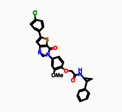 COc1cc(-n2cnc3cc(-c4ccc(Cl)cc4)sc3c2=O)ccc1OCC(=O)N[C@H]1CC1c1ccccc1